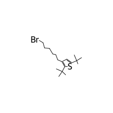 CC(C)(C)c1cc(CCCCCCBr)c(C(C)(C)C)s1